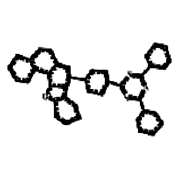 c1ccc(-c2nc(-c3ccccc3)nc(-c3ccc(-c4cc5ccc6ccccc6c5c5oc6ccccc6c45)cc3)n2)cc1